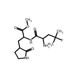 COC(=O)C(CC1CCNC1=O)NC(=O)C(N)CC(C)(C)F